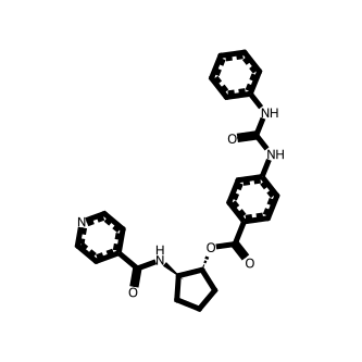 O=C(Nc1ccccc1)Nc1ccc(C(=O)O[C@@H]2CCC[C@H]2NC(=O)c2ccncc2)cc1